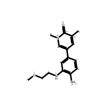 COCCNc1cc(-c2cc(C)c(=O)n(C)c2)ccc1N